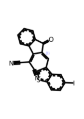 N#CC(C#N)=C1/C(=C\c2csc3ccc(I)cc23)C(=O)c2ccccc21